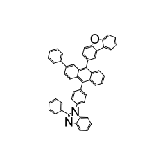 c1ccc(-c2ccc3c(-c4ccc(-n5c(-c6ccccc6)nc6ccccc65)cc4)c4ccccc4c(-c4ccc5oc6ccccc6c5c4)c3c2)cc1